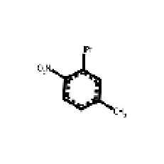 Cc1ccc([N+](=O)[O-])c(C(C)C)c1